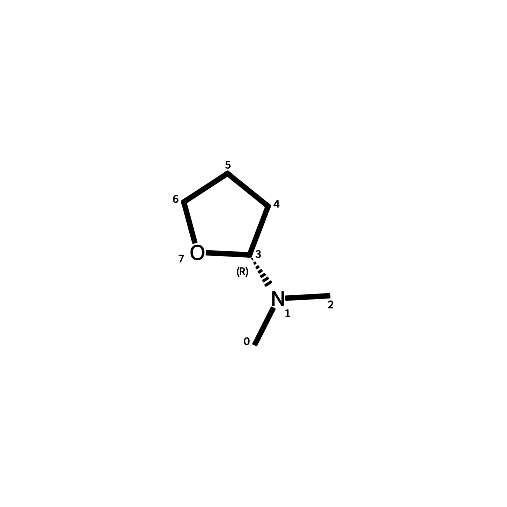 CN(C)[C@H]1CCCO1